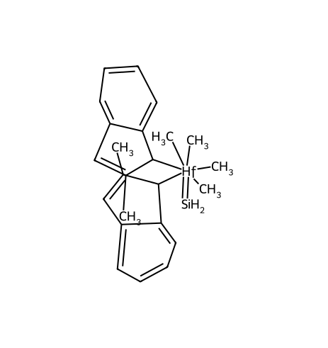 CC1=Cc2ccccc2[CH]1[Hf]([CH3])([CH3])([CH3])([CH3])(=[SiH2])[CH]1C(C)=Cc2ccccc21